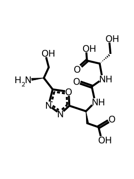 N[C@@H](CO)c1nnc([C@H](CC(=O)O)NC(=O)N[C@@H](CO)C(=O)O)o1